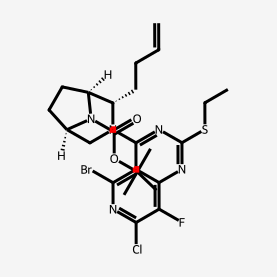 C=CCC[C@H]1[C@@H]2CC[C@H](CN1c1nc(SCC)nc3c(F)c(Cl)nc(Br)c13)N2C(=O)OC(C)(C)C